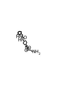 Cc1cccc2c1NC(C(=O)NC1CCC(/C=N/S(=O)(=O)CCCN)CC1)C2